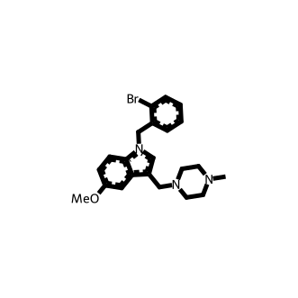 COc1ccc2c(c1)c(CN1CCN(C)CC1)cn2Cc1ccccc1Br